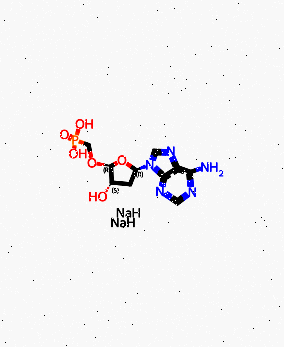 Nc1ncnc2c1ncn2[C@H]1C[C@H](O)[C@@H](OCP(=O)(O)O)O1.[NaH].[NaH]